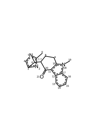 Cc1nc2cn1C2C1CCc2c(c3ccccc3n2C)C1=O